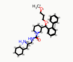 COCCCOC(c1ccccc1-c1ccccc1)C1CCCN(C(=O)NC[C@H](N)CC2CCCCC2)C1